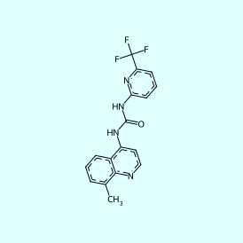 Cc1cccc2c(NC(=O)Nc3cccc(C(F)(F)F)n3)ccnc12